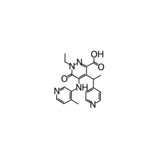 CCn1nc(C(=O)O)c(C(C)c2ccncc2)c(Nc2cnccc2C)c1=O